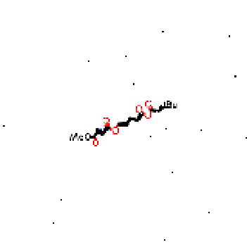 COC(=O)/C=C/C(=O)OCCCCC(=O)OC(=O)CC(C)(C)C